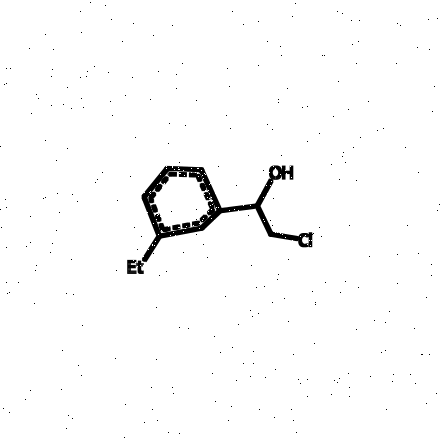 CCc1cccc(C(O)CCl)c1